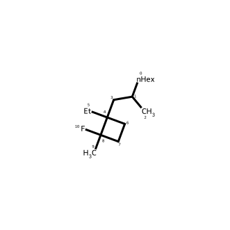 CCCCCCC(C)CC1(CC)CCC1(C)F